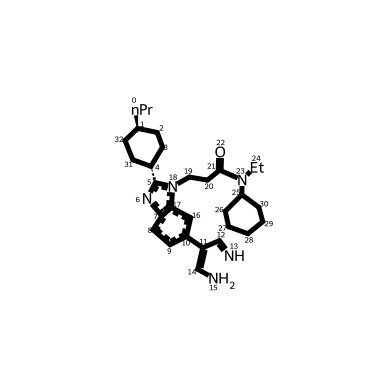 CCC[C@H]1CC[C@H](c2nc3ccc(/C(C=N)=C/N)cc3n2CCC(=O)N(CC)C2CCCCC2)CC1